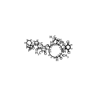 CCCN(C(=O)[C@H](C)NC(=O)[C@@H]1CCCN1C(=O)C1(C(F)(F)F)CCCCO1)[C@H]1CCCCNC(=O)[C@@H](C)NC(=O)[C@H](Cc2cc(Cl)ccc2Cl)N(C)C(=O)[C@H](CC(C)C)NC1=O